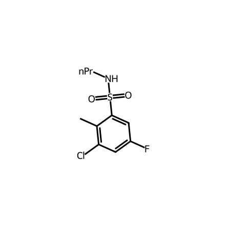 CCCNS(=O)(=O)c1cc(F)cc(Cl)c1C